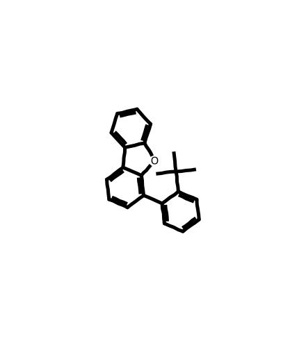 CC(C)(C)c1ccccc1-c1cccc2c1oc1ccccc12